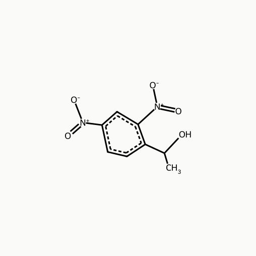 CC(O)c1ccc([N+](=O)[O-])cc1[N+](=O)[O-]